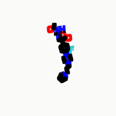 CC(=O)NCn1cc(-c2ccc(N3CCN(CCCn4cccc4)CC3)c(F)c2)c(=O)o1